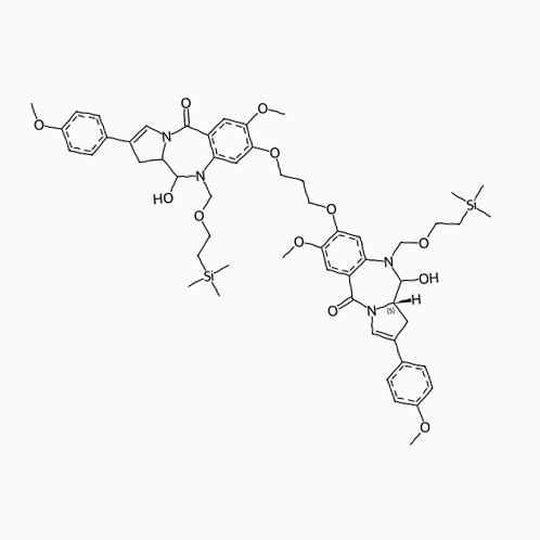 COc1ccc(C2=CN3C(=O)c4cc(OC)c(OCCCOc5cc6c(cc5OC)C(=O)N5C=C(c7ccc(OC)cc7)C[C@H]5C(O)N6COCC[Si](C)(C)C)cc4N(COCC[Si](C)(C)C)C(O)C3C2)cc1